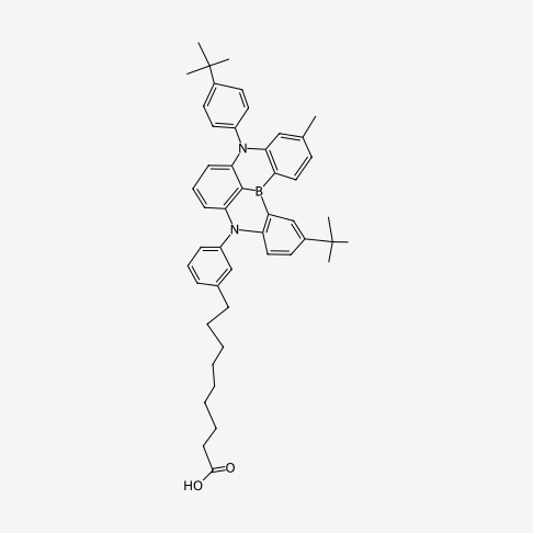 Cc1ccc2c(c1)N(c1ccc(C(C)(C)C)cc1)c1cccc3c1B2c1cc(C(C)(C)C)ccc1N3c1cccc(CCCCCCCCC(=O)O)c1